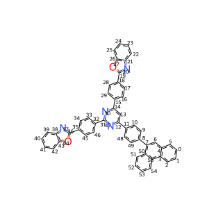 c1ccc2c(c1)cc(-c1ccc(-c3cc(-c4ccc(-c5nc6ccccc6o5)cc4)nc(-c4ccc(-c5nc6ccccc6o5)cc4)n3)cc1)c1ccccc12